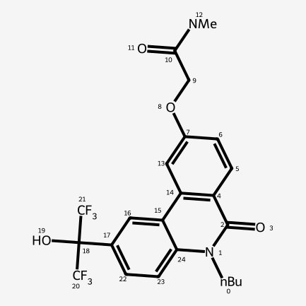 CCCCn1c(=O)c2ccc(OCC(=O)NC)cc2c2cc(C(O)(C(F)(F)F)C(F)(F)F)ccc21